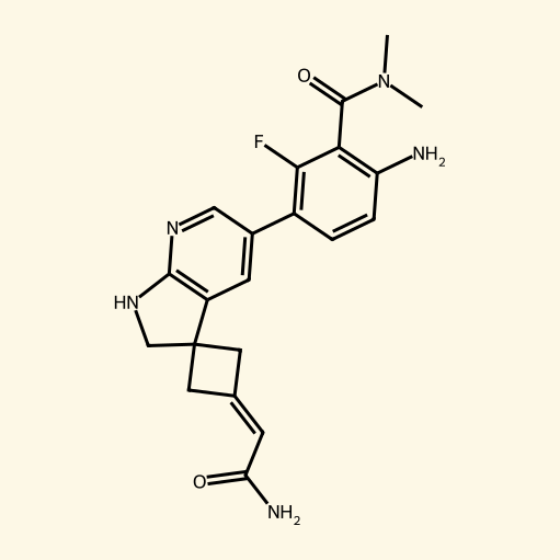 CN(C)C(=O)c1c(N)ccc(-c2cnc3c(c2)C2(CN3)CC(=CC(N)=O)C2)c1F